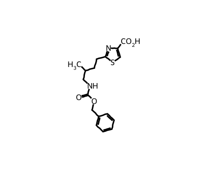 CC(CCc1nc(C(=O)O)cs1)CNC(=O)OCc1ccccc1